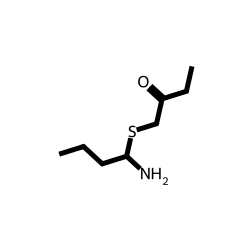 CCCC(N)SCC(=O)CC